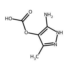 Cc1n[nH]c(N)c1OC(=O)O